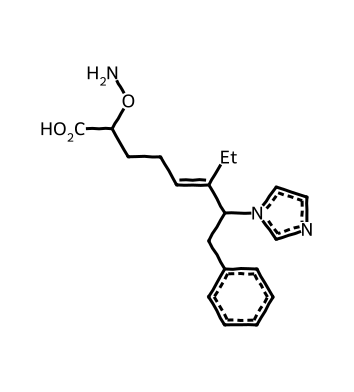 CCC(=CCCC(ON)C(=O)O)C(Cc1ccccc1)n1ccnc1